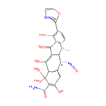 C[C@H]1c2ccc(-c3ncco3)c(O)c2C(=O)C2=C(O)C3C(CC(O)=C(C(N)=O)C3(O)O)[C@@H](N=O)C21